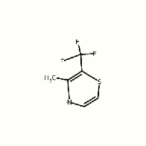 CC1=C(C(F)(F)F)SC=C[N]1